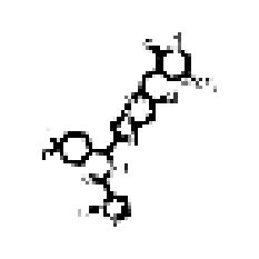 CCn1nccc1C(=O)NC(c1cn2nc(CC3C[C@H](C(F)(F)F)CNC3=O)c(Cl)cc2n1)C1CCC(F)(F)CC1